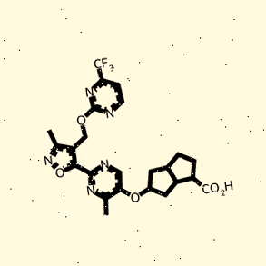 Cc1nc(-c2onc(C)c2COc2nccc(C(F)(F)F)n2)ncc1OC1CC2CCC(C(=O)O)C2C1